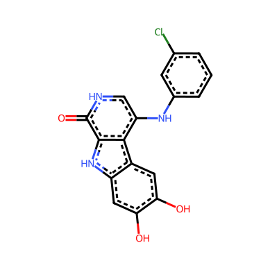 O=c1[nH]cc(Nc2cccc(Cl)c2)c2c1[nH]c1cc(O)c(O)cc12